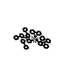 c1ccc(-c2cccc([Si](c3cccc(-c4ccccc4)c3)(c3cccc(-c4ccccc4)c3)c3cccc(-c4nc(-c5cccc([Si](c6ccccc6)(c6ccccc6)c6ccccc6)c5)nc(-n5c6ccccc6c6ccccc65)n4)c3)c2)cc1